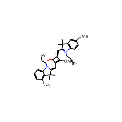 COC1=C(/C=C2\N(CCC(C)C)c3cccc([N+](=O)[O-])c3C2(C)C)C(=O)/C1=C/C1=[N+](CCC(C)C)c2ccc(OC)cc2C1(C)C